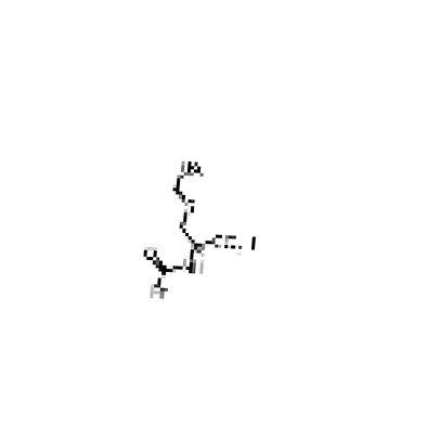 CCC(=O)N[C@@H](CSCC(C)(C)C)C(=O)O